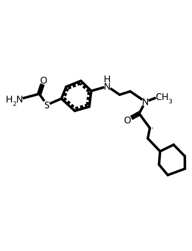 CN(CCNc1ccc(SC(N)=O)cc1)C(=O)[CH]CC1CCCCC1